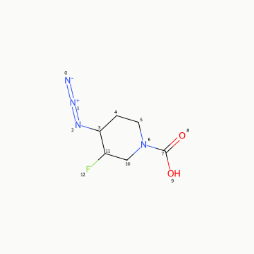 [N-]=[N+]=NC1CCN(C(=O)O)CC1F